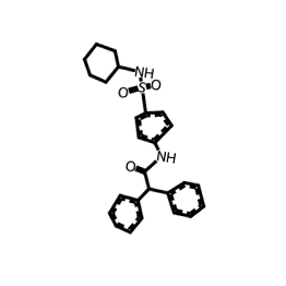 O=C(Nc1ccc(S(=O)(=O)NC2CCCCC2)cc1)C(c1ccccc1)c1ccccc1